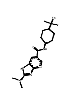 CN(C)C1=Nc2ncc(C(=O)NC3CCC(C(C)(C)O)CC3)cc2B1